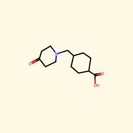 O=C1CCN(CC2CCC(C(=O)O)CC2)CC1